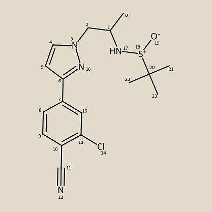 CC(Cn1ccc(-c2ccc(C#N)c(Cl)c2)n1)N[S+]([O-])C(C)(C)C